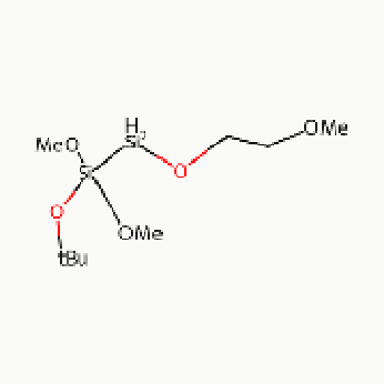 COCCO[SiH2][Si](OC)(OC)OC(C)(C)C